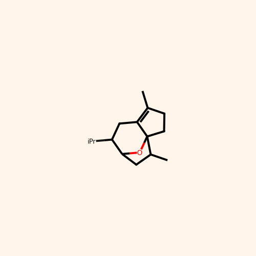 CC1=C2CC(C(C)C)C3CC(C)C2(CC1)O3